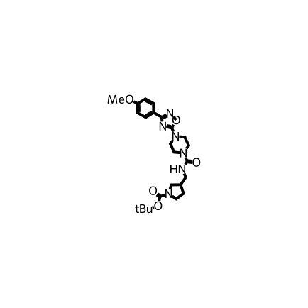 COc1ccc(-c2noc(N3CCN(C(=O)NCC4CCN(C(=O)OC(C)(C)C)C4)CC3)n2)cc1